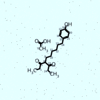 CC(=O)O.CCC(=O)C(CCCCCCc1ccc(O)cc1)C(=O)CC